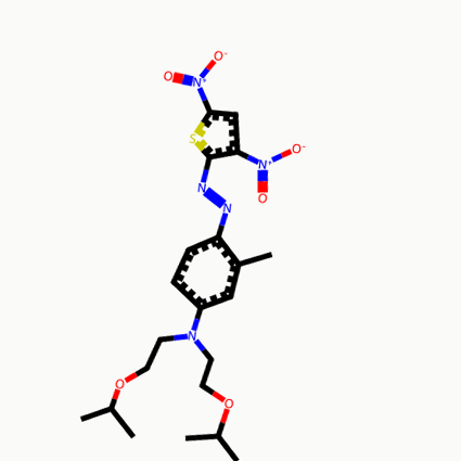 Cc1cc(N(CCOC(C)C)CCOC(C)C)ccc1N=Nc1sc([N+](=O)[O-])cc1[N+](=O)[O-]